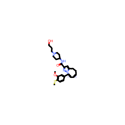 COc1cc(/C2=C/C=C\CCc3cc(C(=O)NC4CCN(CCCO)CC4)nn32)ccc1SC